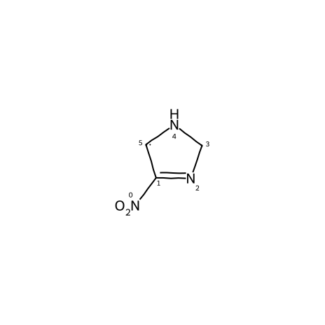 O=[N+]([O-])C1=NCN[CH]1